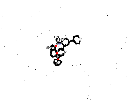 N#C/C(C=N)=C1/NC=C(C2=CCOCC2)C=C1c1cnc(N2CC3CC(C2)N3Cc2ccc3[nH]ccc3c2)cn1